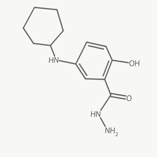 NNC(=O)c1cc(NC2CCCCC2)ccc1O